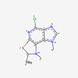 CSC1Sc2nc(Cl)c3ncn(C)c3c2N1C